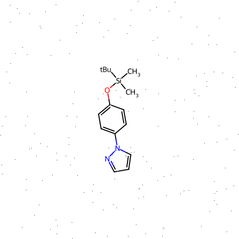 CC(C)(C)[Si](C)(C)Oc1ccc(-n2cccn2)cc1